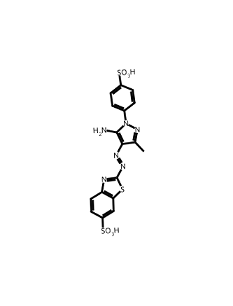 Cc1nn(-c2ccc(S(=O)(=O)O)cc2)c(N)c1/N=N/c1nc2ccc(S(=O)(=O)O)cc2s1